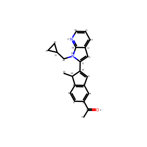 CC(=O)c1ccc2c(c1)C=C(c1cc3cccnc3n1CC1CC1)C2C